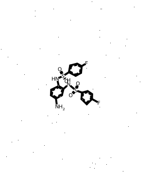 Nc1ccc(NS(=O)(=O)c2ccc(F)cc2)c(NS(=O)(=O)c2ccc(F)cc2)c1